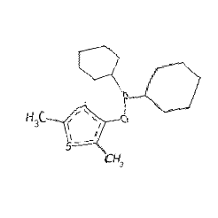 Cc1[c]c(OP(C2CCCCC2)C2CCCCC2)c(C)s1